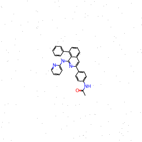 CC(=O)Nc1ccc(-c2cc3cccc(-c4ccccc4)c3c(N(C)c3ccccn3)n2)cc1